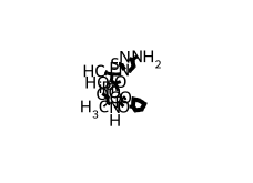 C#CC1(F)[C@@H](O)[C@@](F)(COP(=O)(N[C@@H](C)C(=O)OC(C)C)Oc2ccccc2)O[C@H]1n1ccc(N)nc1=S